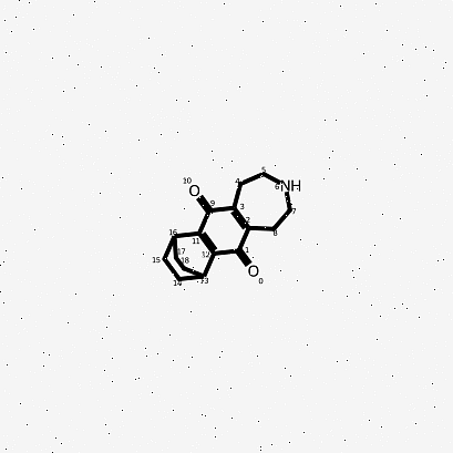 O=C1C2=C(CCNCC2)C(=O)C2=C1C1CCC2CC1